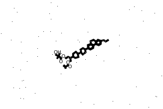 C=C(C)C(=O)OCC(CCOC(=O)C(C)(C)CO)C1CCC(C2CCC(c3ccc4c(c3)CCc3cc(CCC)ccc3-4)CC2)CC1